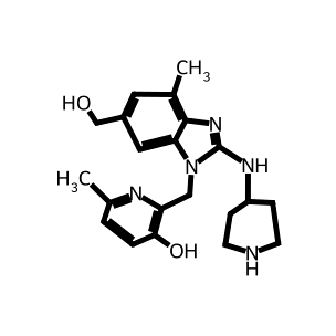 Cc1ccc(O)c(Cn2c(NC3CCNCC3)nc3c(C)cc(CO)cc32)n1